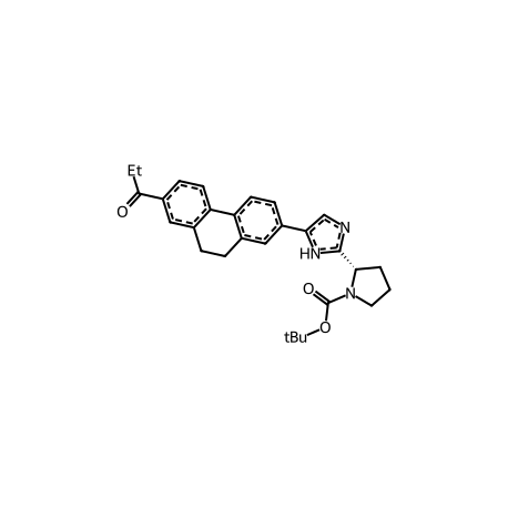 CCC(=O)c1ccc2c(c1)CCc1cc(-c3cnc([C@@H]4CCCN4C(=O)OC(C)(C)C)[nH]3)ccc1-2